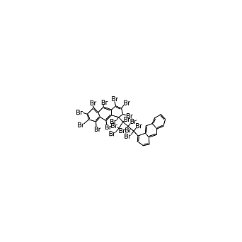 BrC1=C(Br)C(Br)C(Br)(C(Br)(C(Br)(Br)Br)C(Br)(Br)C(Br)(Br)c2cccc3cc4ccccc4cc23)c2c1c(Br)c1c(Br)c(Br)c(Br)c(Br)c1c2Br